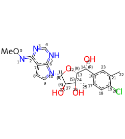 CON=c1nc[nH]c2c1ccn2[C@@H]1O[C@H]([C@H](O)c2ccc(Cl)c(C)c2)[C@@](C)(O)[C@H]1O